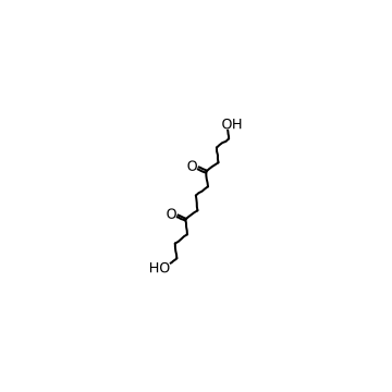 O=C(CCCO)CCCC(=O)CCCO